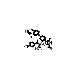 Cc1nc(C(F)F)cn1-c1ccc(-c2cc(F)c(CO)c([S+](C)[O-])c2)cc1N(N)/C(=C\N)C(C)c1ccc(Cl)cc1